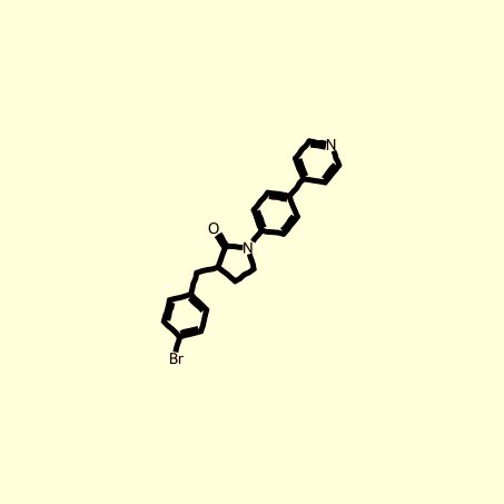 O=C1C(Cc2ccc(Br)cc2)CCN1c1ccc(-c2ccncc2)cc1